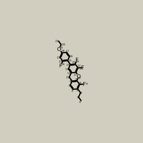 CCCc1ccc2c(c1F)Oc1c(cc(-c3ccc(OCC)cc3F)c(F)c1F)C2